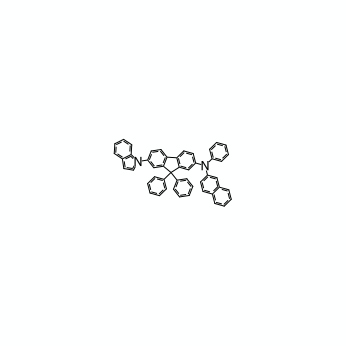 c1ccc(N(c2ccc3c(c2)C(c2ccccc2)(c2ccccc2)c2cc(-n4ccc5ccccc54)ccc2-3)c2ccc3ccccc3c2)cc1